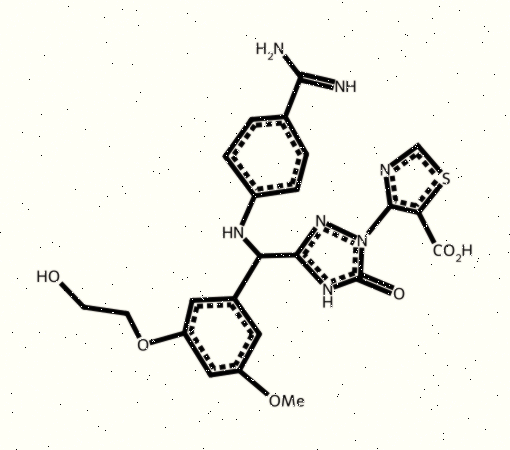 COc1cc(OCCO)cc(C(Nc2ccc(C(=N)N)cc2)c2nn(-c3ncsc3C(=O)O)c(=O)[nH]2)c1